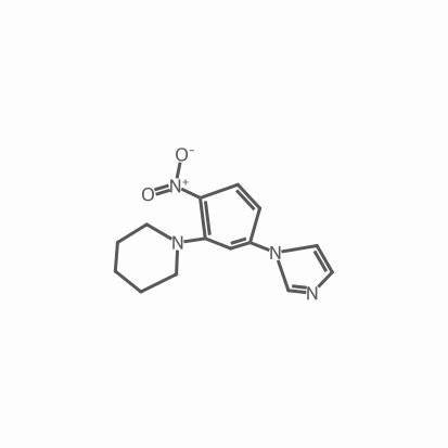 O=[N+]([O-])c1ccc(-n2ccnc2)cc1N1CCCCC1